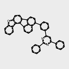 c1ccc(-c2cc(-c3cccc(-c4ccc5c6c(cccc46)-c4c-5ccc5oc6ccccc6c45)c3)nc(-c3ccccc3)n2)cc1